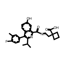 Cc1cc(-c2c(C(C)C)nc(C(=O)NCCC3(C(=O)O)CCC3)c3cc(O)ccc23)ccc1F